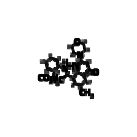 Cc1cc([C@@H](C)Nc2ccccc2C(=O)O)c2[nH]c(N3CCOCC3)cc(=O)c2c1